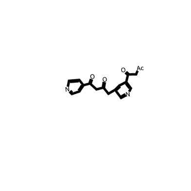 CC(=O)CC(=O)c1cncc(CC(=O)CC(=O)c2ccncc2)c1